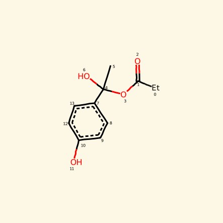 CCC(=O)OC(C)(O)c1ccc(O)cc1